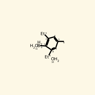 Bc1c(CC)cc(C)cc1CC.O.O